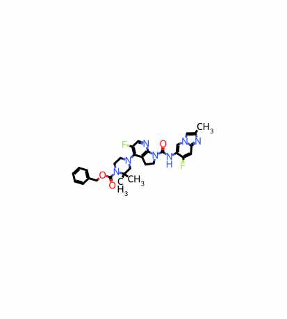 Cc1cn2cc(NC(=O)N3CCc4c3ncc(F)c4N3CCN(C(=O)OCc4ccccc4)C(C)(C)C3)c(F)cc2n1